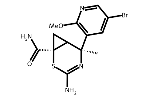 COc1ncc(Br)cc1[C@@]1(C)N=C(N)S[C@@]2(C(N)=O)CC21